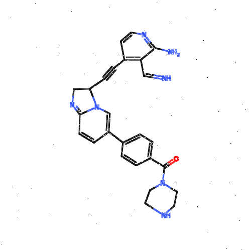 N=Cc1c(C#CC2CN=C3C=CC(c4ccc(C(=O)N5CCNCC5)cc4)=CN32)ccnc1N